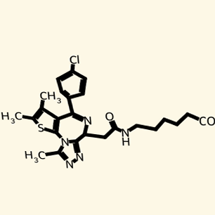 Cc1sc2c(c1C)C(c1ccc(Cl)cc1)=NC(CC(=O)NCCCCCC(=O)O)c1nnc(C)n1-2